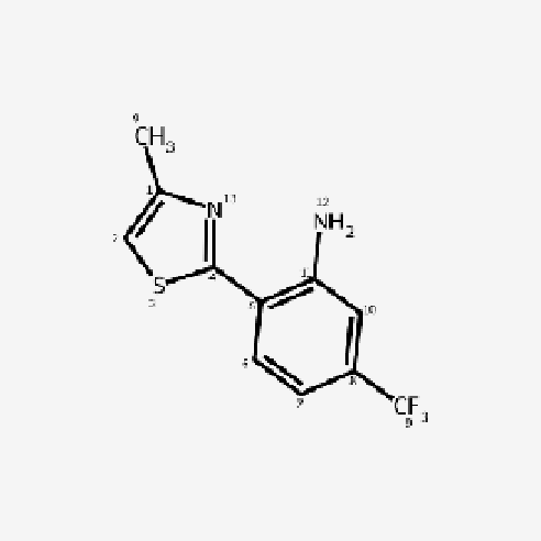 Cc1csc(-c2ccc(C(F)(F)F)cc2N)n1